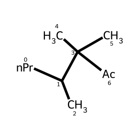 CCCC(C)C(C)(C)C(C)=O